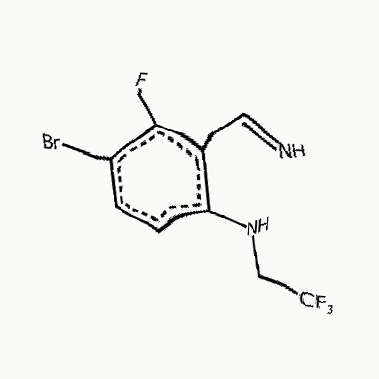 N=Cc1c(NCC(F)(F)F)ccc(Br)c1F